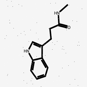 CNC(=O)[CH]Cc1c[nH]c2ccccc12